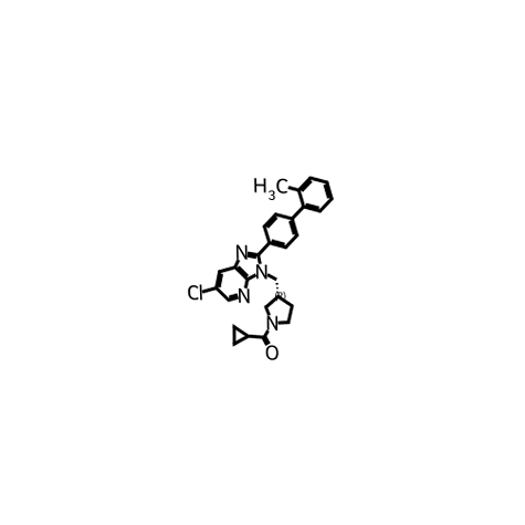 Cc1ccccc1-c1ccc(-c2nc3cc(Cl)cnc3n2C[C@@H]2CCN(C(=O)C3CC3)C2)cc1